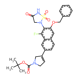 CC(C)(C)OC(=O)N1CC=C(c2ccc3cc(OCc4ccccc4)c(N4CC(=O)NS4(=O)=O)c(F)c3c2)C1